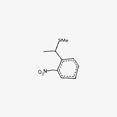 CSC(C)c1ccccc1[N+](=O)[O-]